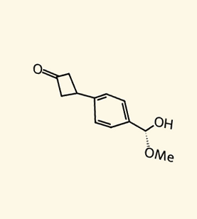 CO[C@@H](O)c1ccc(C2CC(=O)C2)cc1